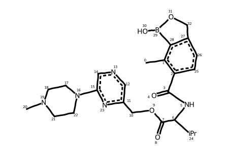 Cc1c(C(=O)NC(C(=O)OCc2cncc(N3CCN(C)CC3)n2)C(C)C)ccc2c1B(O)OC2